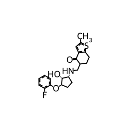 Cc1cc2c(s1)CCC(CN[C@@H]1CC[C@@H](Oc3ccccc3F)[C@@H]1O)C2=O